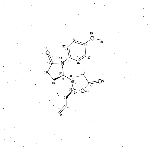 C=CC[C@@H]1OC(=O)C[C@H]1[C@H]1CCC(=O)N1c1ccc(OC)cc1